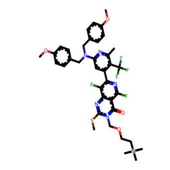 COc1ccc(CN(Cc2ccc(OC)cc2)c2cc(-c3nc(F)c4c(=O)n(COCC[Si](C)(C)C)c(SC)nc4c3F)c(C(F)(F)F)c(C)n2)cc1